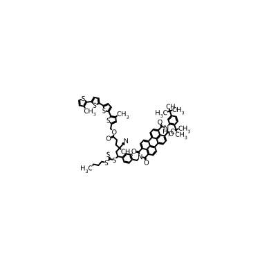 CCCCSC(=S)SC(CC(C)(C#N)CCC(=O)OCc1cc(C)c(-c2ccc(-c3ccc(-c4sccc4C)s3)s2)s1)c1ccc(CN2C(=O)c3ccc4c5ccc6c7c(ccc(c8ccc(c3c48)C2=O)c75)C(=O)N(c2cc(C(C)(C)C)ccc2C(C)(C)C)C6=O)cc1